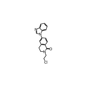 O=C1c2ccc(-n3cnc4ccccc43)cc2CCN1CCCl